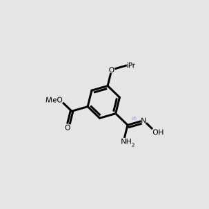 COC(=O)c1cc(OC(C)C)cc(/C(N)=N/O)c1